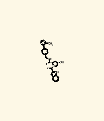 Cc1ncsc1-c1ccc(CNC(=O)[C@@H]2C[C@@H](O)CN2C(=O)c2cc3ccccc3[nH]2)cc1